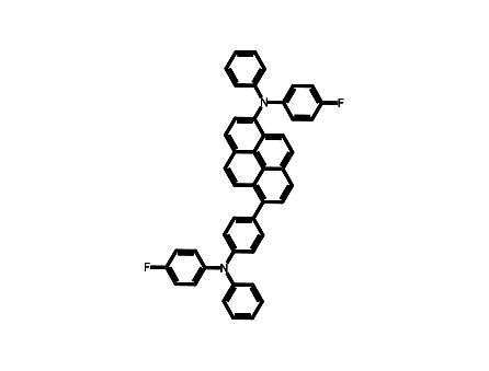 Fc1ccc(N(c2ccccc2)c2ccc(-c3ccc4ccc5c(N(c6ccccc6)c6ccc(F)cc6)ccc6ccc3c4c65)cc2)cc1